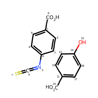 O=C(O)c1ccc(N=C=S)cc1.O=C(O)c1ccc(O)cc1